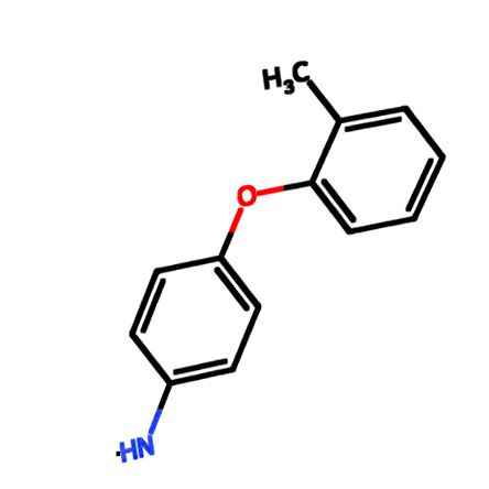 Cc1ccccc1Oc1ccc([NH])cc1